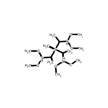 CO[SiH](OC)C(C)[Si](C)(C(C)[SiH](OC)OC)C(C)[SiH](OC)OC